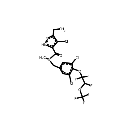 CCc1n[nH]c(C(=O)N(C)Cc2cc(Cl)c(OC(F)(F)C(F)OC(F)(F)F)c(Cl)c2)c1Cl